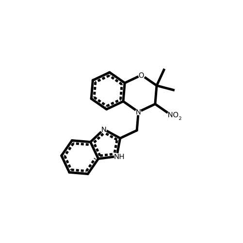 CC1(C)Oc2ccccc2N(Cc2nc3ccccc3[nH]2)C1[N+](=O)[O-]